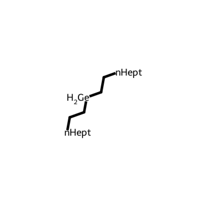 CCCCCCCC[CH2][GeH2][CH2]CCCCCCCC